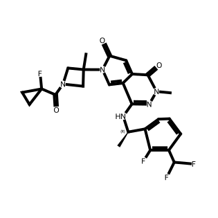 C[C@@H](Nc1nn(C)c(=O)c2cc(=O)n(C3(C)CN(C(=O)C4(F)CC4)C3)cc12)c1cccc(C(F)F)c1F